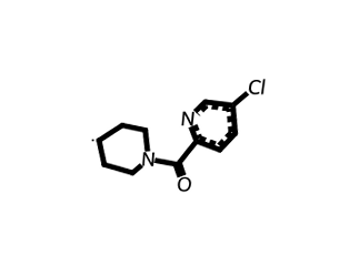 O=C(c1ccc(Cl)cn1)N1CC[CH]CC1